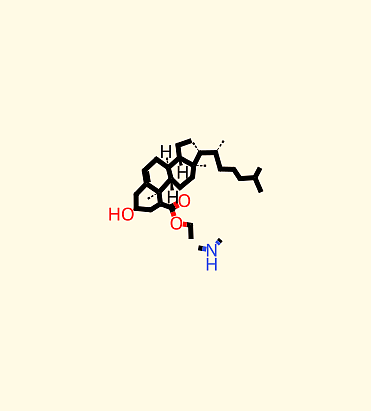 CCOC(=O)C1C[C@H](O)CC2=CC[C@H]3[C@@H]4CC[C@H]([C@H](C)CCCC(C)C)[C@@]4(C)CC[C@@H]3[C@]21C.CNC